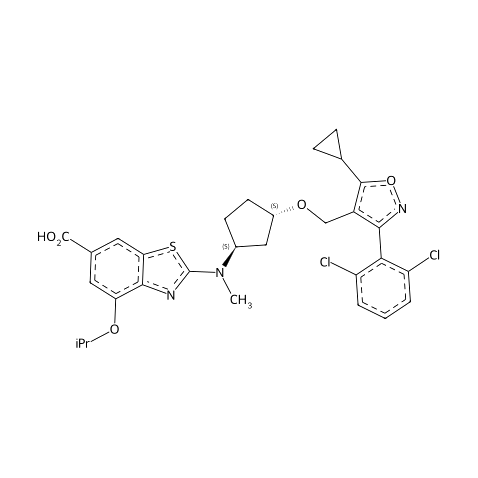 CC(C)Oc1cc(C(=O)O)cc2sc(N(C)[C@H]3CC[C@H](OCc4c(-c5c(Cl)cccc5Cl)noc4C4CC4)C3)nc12